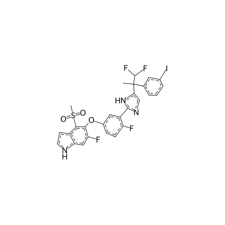 CC(c1cccc(I)c1)(c1cnc(-c2cc(Oc3c(F)cc4[nH]ccc4c3S(C)(=O)=O)ccc2F)[nH]1)C(F)F